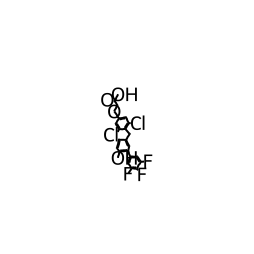 O=C(O)COc1cc(Cl)c(Cc2ccc(O)c(-c3cc(F)c(F)c(F)c3)c2)c(Cl)c1